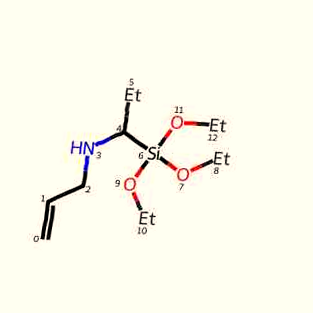 C=CCNC(CC)[Si](OCC)(OCC)OCC